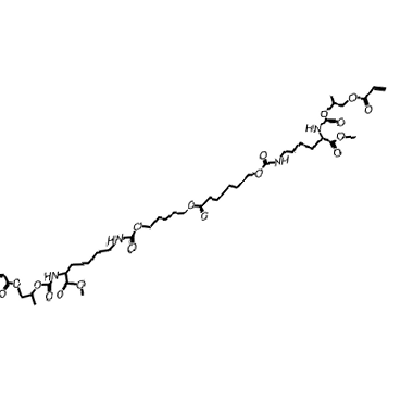 C=CC(=O)OCC(C)OC(=O)NC(CCCCNC(=O)OCCCCCOC(=O)CCCCCOC(=O)NCCCCC(NC(=O)OC(C)COC(=O)C=C)C(=O)OC)C(=O)OC